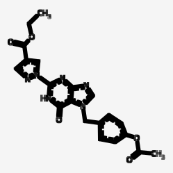 CCOC(=O)c1cnn(-c2nc3ncn(Cc4ccc(OC(C)=O)cc4)c3c(=O)[nH]2)c1